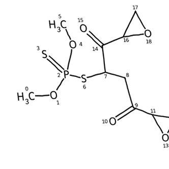 COP(=S)(OC)SC(CC(=O)C1CO1)C(=O)C1CO1